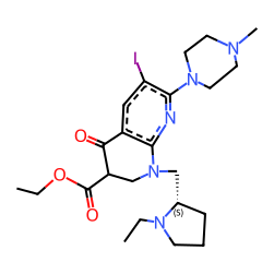 CCOC(=O)C1CN(C[C@@H]2CCCN2CC)c2nc(N3CCN(C)CC3)c(I)cc2C1=O